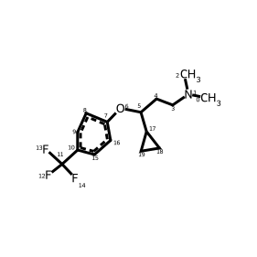 CN(C)CCC(Oc1ccc(C(F)(F)F)cc1)C1CC1